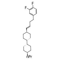 CCC[C@H]1CC[C@H]([C@H]2CC[C@H](C=CCCc3ccc(F)c(F)c3)CC2)CC1